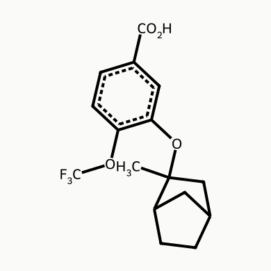 CC1(Oc2cc(C(=O)O)ccc2OC(F)(F)F)CC2CCC1C2